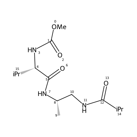 COC(=O)N[C@H](C(=O)N[C@@H](C)CNC(=O)C(C)C)C(C)C